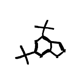 CC(C)(C)c1nc(C(C)(C)C)c2cnsc2n1